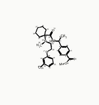 COC(=O)c1ccc(C(C)NC(=O)C2(N(C)CCOc3cccc(Cl)c3)CCCCC2)cc1